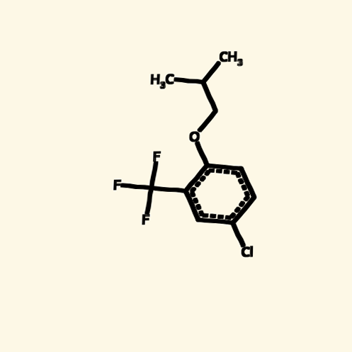 CC(C)COc1ccc(Cl)cc1C(F)(F)F